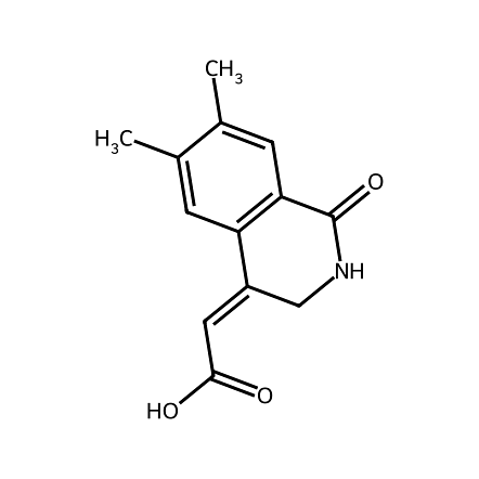 Cc1cc2c(cc1C)/C(=C/C(=O)O)CNC2=O